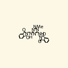 [CH2]Nc1nc(NCN2C(=O)c3ccccc3C2=O)nc(NCN2C(=O)c3ccccc3C2=O)n1